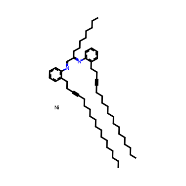 CCCCCCCCCCCCCCC#CCCc1ccccc1N=CC(CCCCCCCC)=Nc1ccccc1CCC#CCCCCCCCCCCCCCC.[Ni]